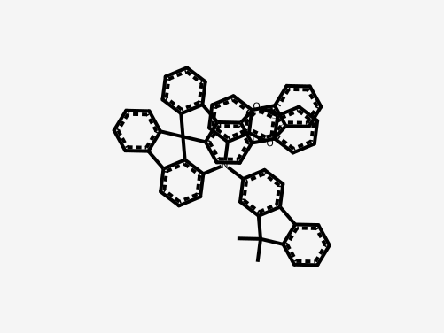 CC1(C)c2ccccc2-c2ccc(N(c3cccc4c3C3(c5ccccc5-4)c4ccccc4-c4c3ccc3c4oc4ccccc43)c3cccc4c3oc3ccccc34)cc21